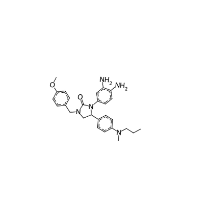 CCCN(C)c1ccc(C2CN(Cc3ccc(OC)cc3)C(=O)N2c2ccc(N)c(N)c2)cc1